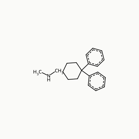 CNC.c1ccc(C2(c3ccccc3)CCCCC2)cc1